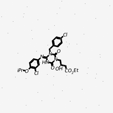 CCOC(=O)C[C@H](O)Cn1c(=O)[nH]/c(=N\c2ccc(OC(C)C)c(Cl)c2)n(Cc2ccc(Cl)cc2)c1=O